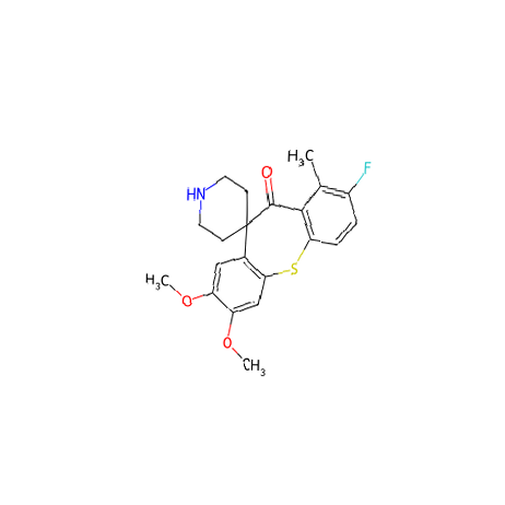 COc1cc2c(cc1OC)C1(CCNCC1)C(=O)c1c(ccc(F)c1C)S2